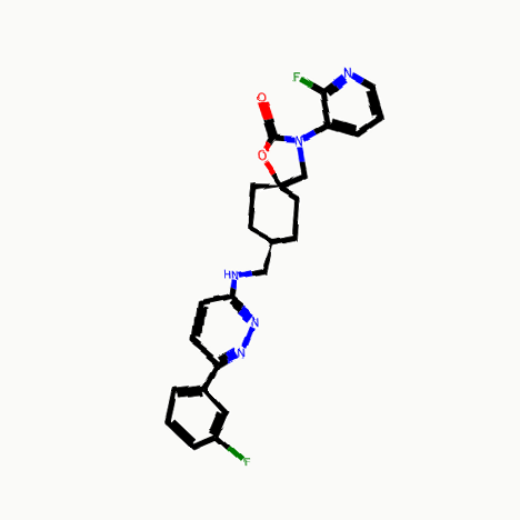 O=C1O[C@]2(CC[C@H](CNc3ccc(-c4cccc(F)c4)nn3)CC2)CN1c1cccnc1F